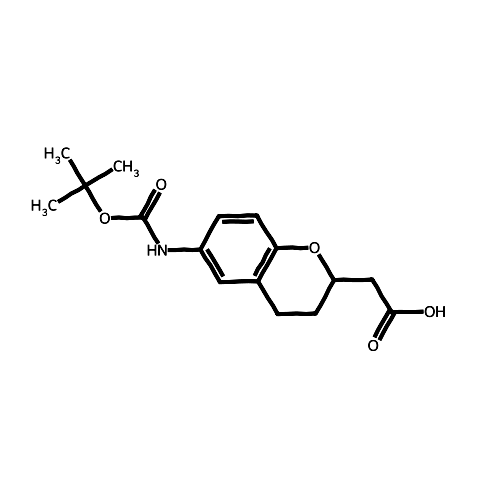 CC(C)(C)OC(=O)Nc1ccc2c(c1)CCC(CC(=O)O)O2